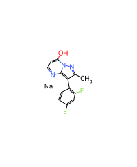 Cc1nn2c(O)ccnc2c1-c1ccc(F)cc1F.[Na]